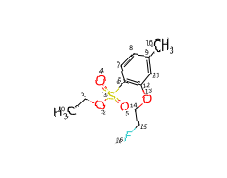 CCOS(=O)(=O)c1ccc(C)cc1OCCF